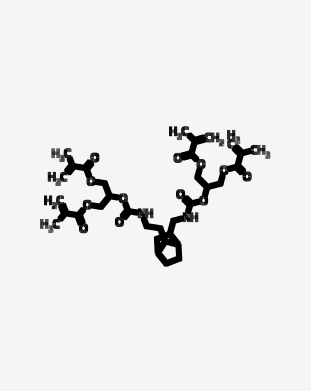 C=C(C)C(=O)OCC(COC(=O)C(=C)C)OC(=O)NCCC1C2CCC1C(CNC(=O)OC(COC(=O)C(=C)C)COC(=O)C(=C)C)C2